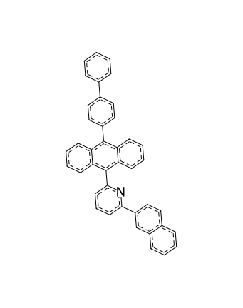 c1ccc(-c2ccc(-c3c4ccccc4c(-c4cccc(-c5ccc6ccccc6c5)n4)c4ccccc34)cc2)cc1